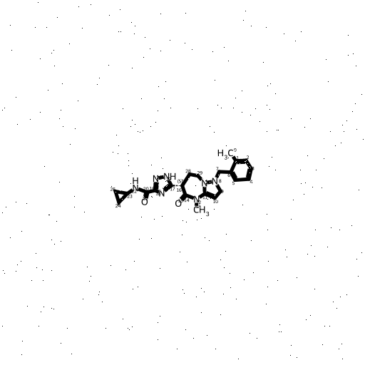 Cc1ccccc1CN1CC=C2N(C)C(=O)[C@H](c3nc(C(=O)NC4CC4)n[nH]3)CCN21